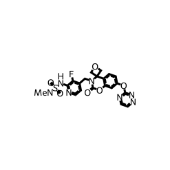 CNS(=O)(=O)Nc1nccc(CN2C(=O)Oc3cc(Oc4nccnn4)ccc3C23COC3)c1F